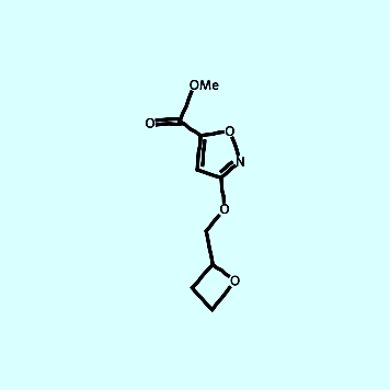 COC(=O)c1cc(OCC2CCO2)no1